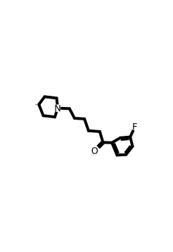 O=C(CCCCCN1CC[CH]CC1)c1cccc(F)c1